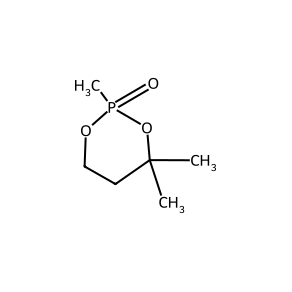 CC1(C)CCOP(C)(=O)O1